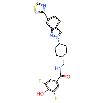 O=C(NC[C@H]1CC[C@H](n2cc3ccc(-c4cscn4)cc3n2)CC1)c1cc(F)c(O)c(F)c1